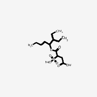 CCCCC(OC(=O)C(CC(=O)O)S(=O)(=O)O)C(CC)CC